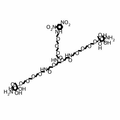 N[C@H]1[C@H]2OC[C@](COCCOCCOCCOCCNC(=O)CCOCC(COCCC(=O)NCCOCCOCCOCCOC[C@@]34CO[C@@H](O3)[C@H](N)[C@@H](O)[C@H]4O)NC(=O)COCCOCCOCCNc3ccc([N+](=O)[O-])cc3[N+](=O)[O-])(O2)[C@H](O)[C@@H]1O